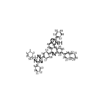 C1=CCCC(c2nc(-c3ccccc3)nc(-c3ccc(-c4nc5cc(-c6ccc7ccccc7c6)ccc5c5c6c(ccc45)OC(c4ccccc4)N6)cc3)n2)=C1